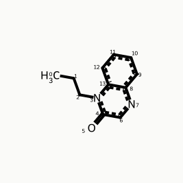 CCCn1c(=O)cnc2ccccc21